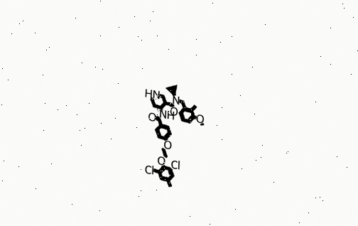 COc1cccc(CN(C(=O)C2CNCC[C@@H]2NC(=O)c2ccc(OCCOc3c(Cl)cc(C)cc3Cl)cc2)C2CC2)c1C